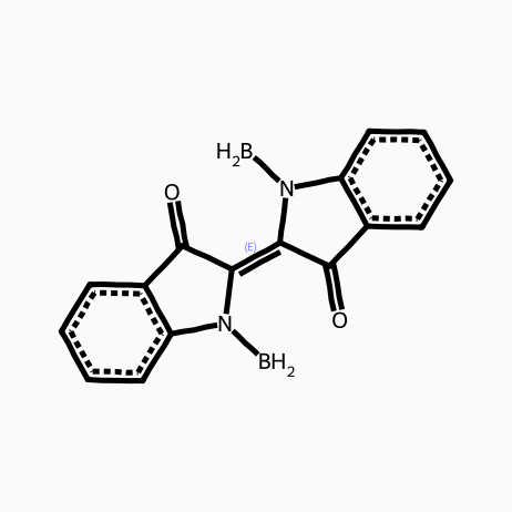 BN1/C(=C2\C(=O)c3ccccc3N2B)C(=O)c2ccccc21